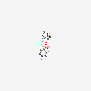 Cc1ccc(S(=O)(=O)OCC2CCCC2(F)F)cc1